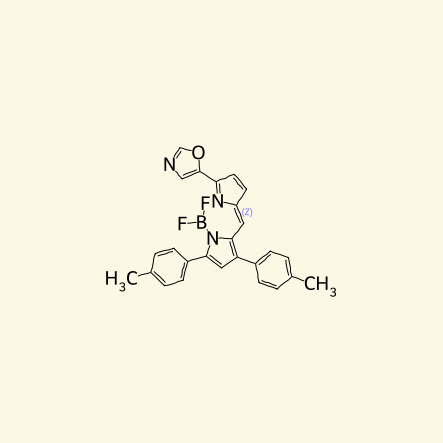 Cc1ccc(-c2cc(-c3ccc(C)cc3)n(B(F)F)c2/C=C2/C=CC(c3cnco3)=N2)cc1